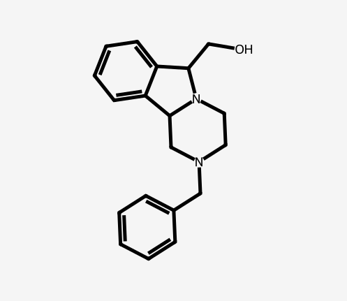 OCC1c2ccccc2C2CN(Cc3ccccc3)CCN12